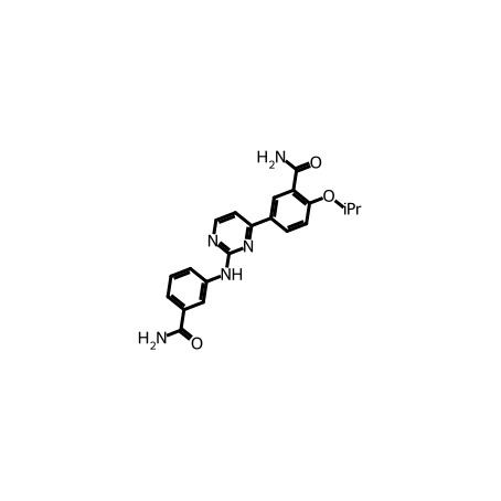 CC(C)Oc1ccc(-c2ccnc(Nc3cccc(C(N)=O)c3)n2)cc1C(N)=O